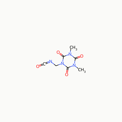 Cn1c(=O)n(C)c(=O)n(CN=C=O)c1=O